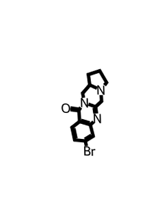 O=c1c2ccc(Br)cc2nc2n1CC1CCCN1C2